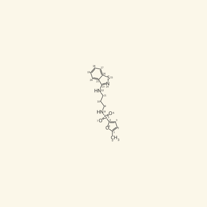 Cc1ccc(S(=O)(=O)NCCCNc2nsc3ccccc23)o1